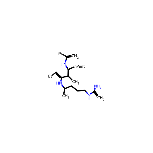 C=C(N)NCCCC(C)NC(=CCC)C(C)C(CCCCC)NC(=C)C(C)C